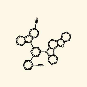 N#Cc1ccc2c(c1)c1ccccc1n2-c1cc(-c2ccccc2C#N)cc(-n2c3ccccc3c3c4oc5ccccc5c4ccc32)c1